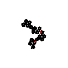 Cc1cccc(N(c2ccccc2)c2ccc3c4cc5c(cc4n4c6ccccc6c2c34)c2ccc(N(c3ccccc3)c3cc(C)cc(Cc4ccccc4N(c4ccccc4)c4ccc6c7cc8c(cc7n7c9ccccc9c4c67)c4ccc(N(c6ccccc6)c6ccccc6C)c6c7ccccc7n8c46)c3)c3c4ccccc4n5c23)c1